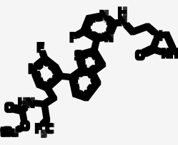 CC(C)(C)OC(=O)NC(Cc1cnc(F)cc1-c1cccc2cc(-c3nc(NCCN4CCNC4=O)ncc3F)sc12)CC(F)(F)F